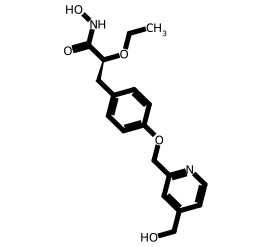 CCO[C@@H](Cc1ccc(OCc2cc(CO)ccn2)cc1)C(=O)NO